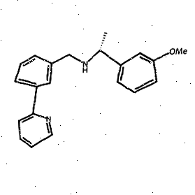 COc1cccc([C@@H](C)NCc2cccc(-c3ccccn3)c2)c1